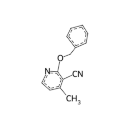 Cc1ccnc(OCc2ccccc2)c1C#N